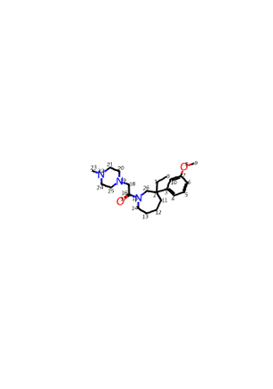 CCC1(c2cccc(OC)c2)CCCCN(C(=O)CN2CCN(C)CC2)C1